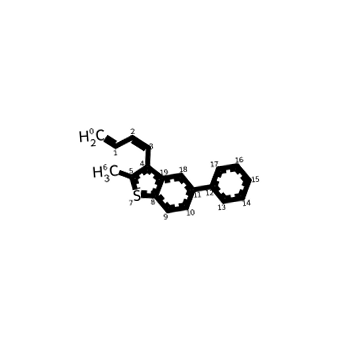 C=C/C=C\c1c(C)sc2ccc(-c3ccccc3)cc12